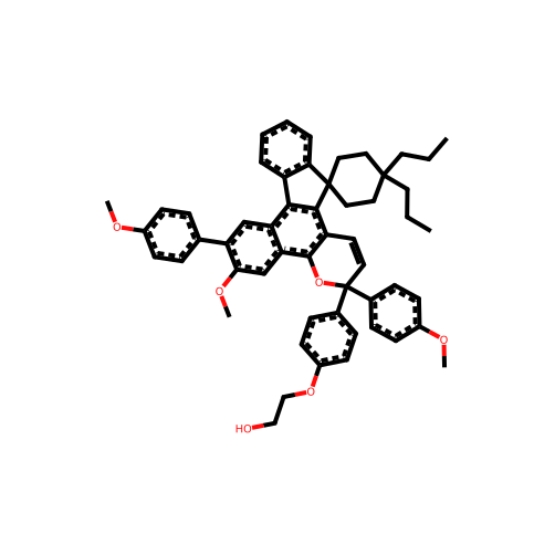 CCCC1(CCC)CCC2(CC1)c1ccccc1-c1c2c2c(c3cc(OC)c(-c4ccc(OC)cc4)cc13)OC(c1ccc(OC)cc1)(c1ccc(OCCO)cc1)C=C2